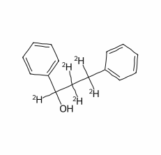 [2H]C([2H])(c1ccccc1)C([2H])([2H])C([2H])(O)c1ccccc1